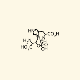 CC(OP(=O)(O)O)C(N)C(=O)O.NC(Cc1c[nH]cn1)C(=O)O